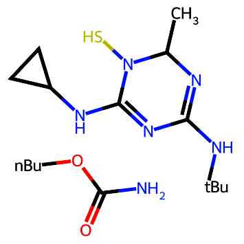 CC1N=C(NC(C)(C)C)N=C(NC2CC2)N1S.CCCCOC(N)=O